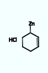 Cl.[Zn][CH]1C=CCCC1